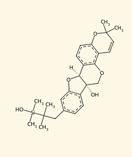 CC1(C)C=Cc2c(ccc3c2OC[C@@]2(O)c4ccc(CC(C)(C)[Si](C)(C)O)cc4O[C@@H]32)O1